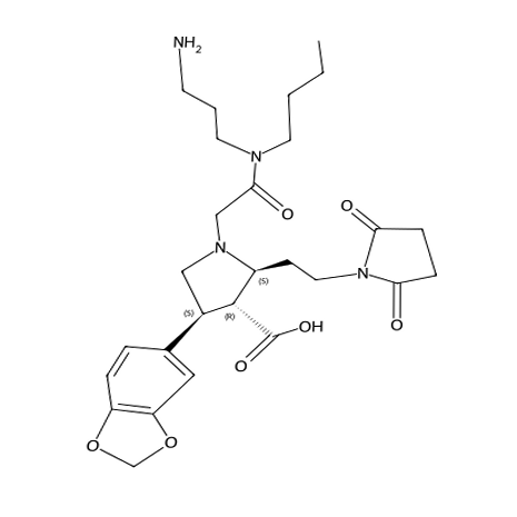 CCCCN(CCCN)C(=O)CN1C[C@H](c2ccc3c(c2)OCO3)[C@@H](C(=O)O)[C@@H]1CCN1C(=O)CCC1=O